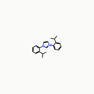 CC(C)c1ccccc1-n1cc[n+](-c2ccccc2C(C)C)c1